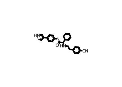 N#Cc1ccc(CCNC(C(=O)Nc2ccc(-c3cn[nH]c3)cc2)C2C=CC=CC2)cc1